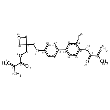 C=C(C)C(=O)OCC1(COc2ccc(-c3ccc(OC(=O)C(=C)C)c(F)c3)cc2)COC1